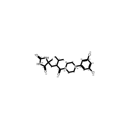 CC(C)C(CC1(C)NC(=O)NC1=O)C(=O)N1CCN(c2cc(Cl)cc(Cl)c2)CC1